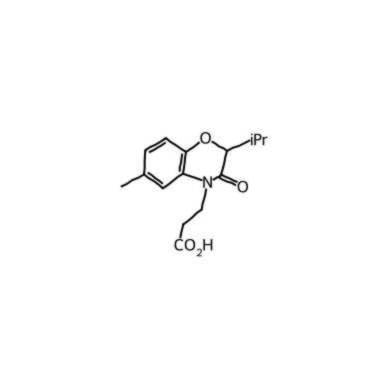 Cc1ccc2c(c1)N(CCC(=O)O)C(=O)C(C(C)C)O2